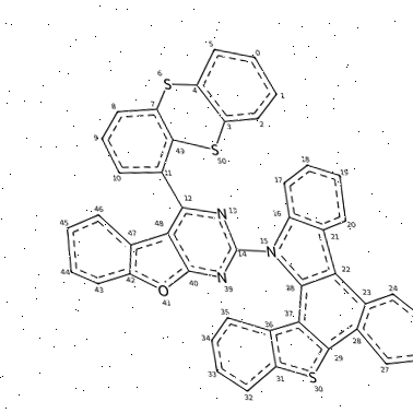 c1ccc2c(c1)Sc1cccc(-c3nc(-n4c5ccccc5c5c6ccccc6c6sc7ccccc7c6c54)nc4oc5ccccc5c34)c1S2